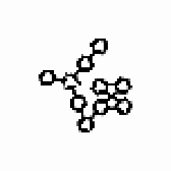 c1ccc(-c2ccc(-c3nc(-c4ccccc4)nc(-c4ccc(-c5ccccc5-c5ccc6c(c5)-c5ccccc5C65c6ccccc6-c6ccccc65)cc4)n3)cc2)cc1